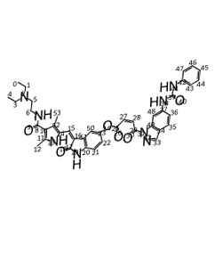 CCN(CC)CCNC(=O)c1c(C)[nH]c(/C=C2\C(=O)Nc3ccc(OC(=O)/C=C\C(=O)n4ncc5ccc(NC(=O)Nc6ccccc6)cc54)cc32)c1C